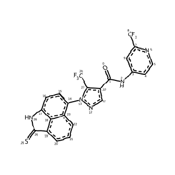 O=C(Nc1ccnc(C(F)(F)F)c1)c1cnn(-c2ccc3c4c(cccc24)C(=S)N3)c1C(F)(F)F